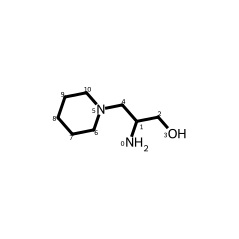 NC(CO)CN1CCCCC1